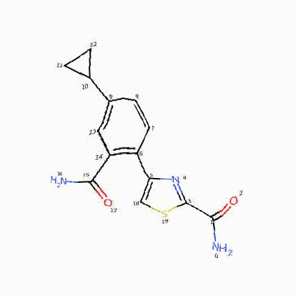 NC(=O)c1nc(-c2ccc(C3CC3)cc2C(N)=O)cs1